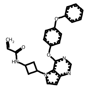 C=CC(=O)NC1CC(n2ccc3ncnc(Oc4ccc(Oc5ccccc5)cc4)c32)C1